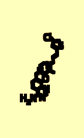 CC1C(=O)N(Cc2ccc3c(N)ncnc3c2)CCN1C/C=C/c1cc(Cl)cs1